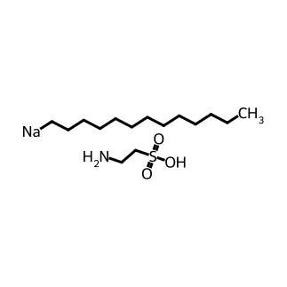 CCCCCCCCCCCC[CH2][Na].NCCS(=O)(=O)O